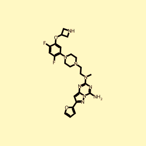 CN(CCN1CCN(c2cc(OC3CNC3)c(F)cc2F)CC1)c1nc(N)n2nc(-c3ccco3)cc2n1